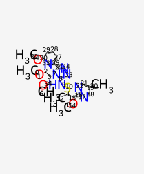 COCC(COC)n1c(NSC(C)C(OC)c2ncc(C)cn2)nnc1-c1cccc(OC)n1